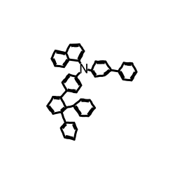 c1ccc(-c2ccc(N(c3ccc(-c4cccc(-c5ccccc5)c4-c4ccccc4)cc3)c3cccc4ccccc34)cc2)cc1